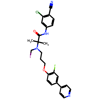 CC(C)(C(=O)Nc1ccc(C#N)c(Cl)c1)N(CI)CCCOc1ccc(-c2ccncc2)cc1F